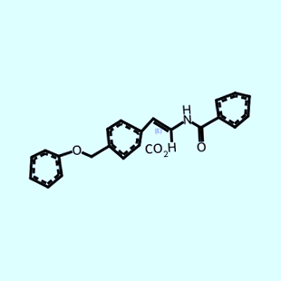 O=C(O)/C(=C\c1ccc(COc2ccccc2)cc1)NC(=O)c1ccccc1